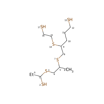 CCC(S)SCC(C)SCC(CCCS)SCCS